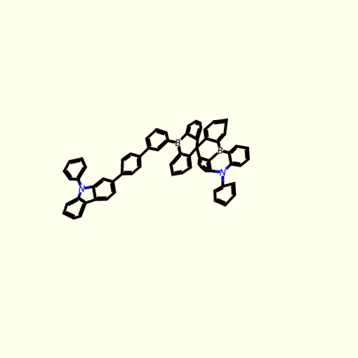 c1ccc(N2c3ccccc3B3c4ccccc4C4(c5ccccc5B(c5cccc(-c6ccc(-c7ccc8c9ccccc9n(-c9ccccc9)c8c7)cc6)c5)c5ccccc54)c4cccc2c43)cc1